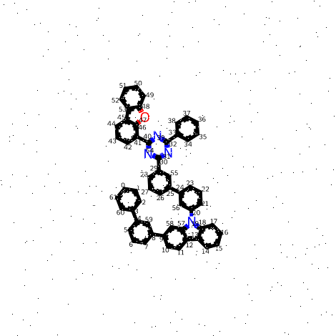 c1ccc(-c2cccc(-c3ccc4c5ccccc5n(-c5cccc(-c6cccc(-c7nc(-c8ccccc8)nc(-c8cccc9c8oc8ccccc89)n7)c6)c5)c4c3)c2)cc1